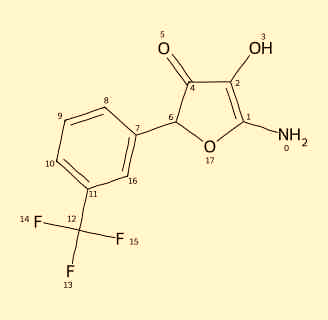 NC1=C(O)C(=O)C(c2cccc(C(F)(F)F)c2)O1